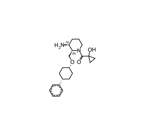 N[C@H]1CCCN(C(=O)C2(O)CC2)[C@H]1CO[C@H]1CC[C@@H](c2ccccc2)CC1